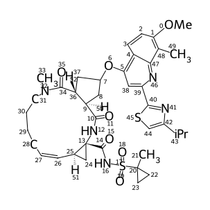 COc1ccc2c(OC3C[C@H]4C(=O)N[C@]5(C(=O)NS(=O)(=O)C6(C)CC6)C[C@H]5/C=C\CCCCN(C)C(=O)[C@@H]4C3)cc(-c3nc(C(C)C)cs3)nc2c1C